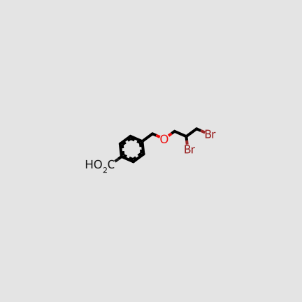 O=C(O)c1ccc(COCC(Br)CBr)cc1